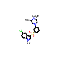 CC(C)n1cc(S(=O)(=O)c2cccc(N3CCN(C(=O)O)C(C(C)(C)C)C3)c2)c2cc(Cl)ccc21